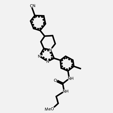 COCCNC(=O)Nc1cc(-c2nnc3n2CCC(c2ccc(C#N)cc2)C3)ccc1C